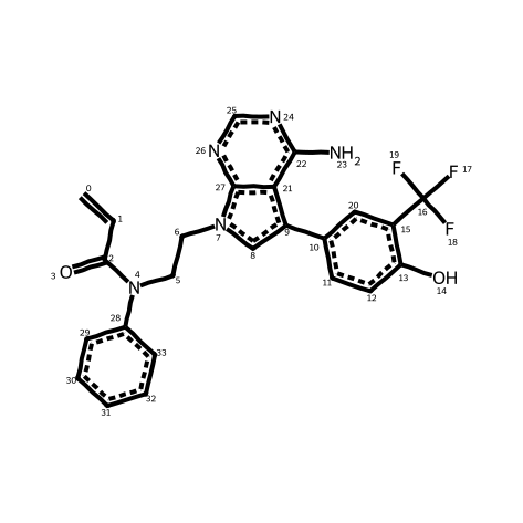 C=CC(=O)N(CCn1cc(-c2ccc(O)c(C(F)(F)F)c2)c2c(N)ncnc21)c1ccccc1